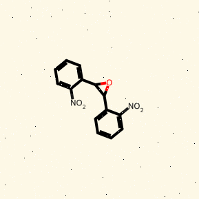 O=[N+]([O-])c1ccccc1C1OC1c1ccccc1[N+](=O)[O-]